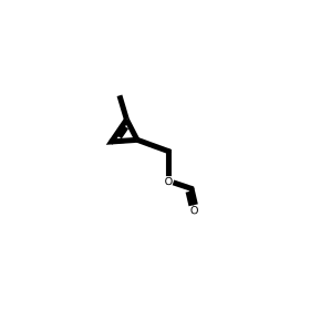 CC1=CC1COC=O